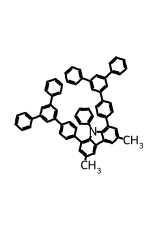 Cc1cc(-c2ccc(-c3cc(-c4ccccc4)cc(-c4ccccc4)c3)cc2)c2c(c1)c1cc(C)cc(-c3ccc(-c4cc(-c5ccccc5)cc(-c5ccccc5)c4)cc3)c1n2-c1ccccc1